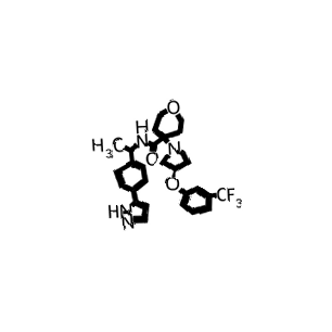 CC(NC(=O)C1(N2CC[C@@H](Oc3cccc(C(F)(F)F)c3)C2)CCOCC1)c1ccc(-c2ccn[nH]2)cc1